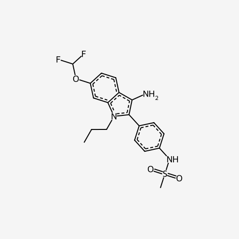 CCCn1c(-c2ccc(NS(C)(=O)=O)cc2)c(N)c2ccc(OC(F)F)cc21